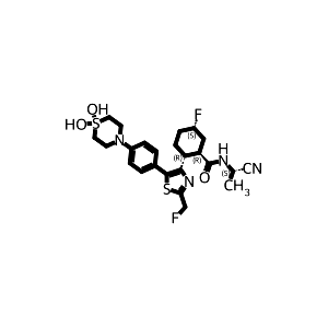 C[C@@H](C#N)NC(=O)[C@@H]1C[C@@H](F)CC[C@H]1c1nc(CF)sc1-c1ccc(N2CCS(O)(O)CC2)cc1